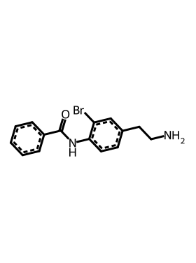 NCCc1ccc(NC(=O)c2ccccc2)c(Br)c1